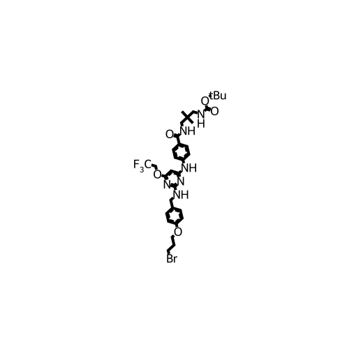 CC(C)(CNC(=O)OC(C)(C)C)CNC(=O)c1ccc(Nc2cc(OCC(F)(F)F)nc(NCc3ccc(OCCCBr)cc3)n2)cc1